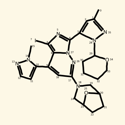 Cc1cc(-c2nc(I)c3c(-c4ccnn4C)cc(N4CC5CCC(C4)O5)nn23)n(C2CCCCO2)n1